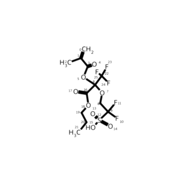 C=C(C)C(=O)OC(OCC(F)(F)S(=O)(=O)O)(C(=O)OCCC)C(F)(F)F